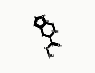 CC(C)(C)OC(=O)[C@H]1Cc2ccoc2CN1